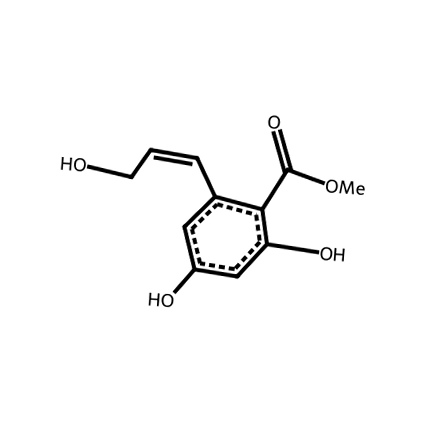 COC(=O)c1c(O)cc(O)cc1/C=C\CO